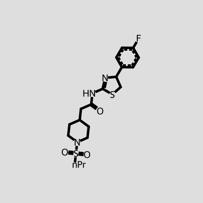 CCCS(=O)(=O)N1CCC(CC(=O)NC2=NC(c3ccc(F)cc3)CS2)CC1